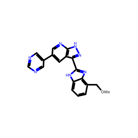 COCc1cccc2[nH]c(-c3n[nH]c4ncc(-c5cncnc5)cc34)nc12